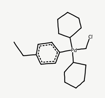 CCc1cc[c]([Pd]([CH2]Cl)([CH]2CCCCC2)[CH]2CCCCC2)cc1